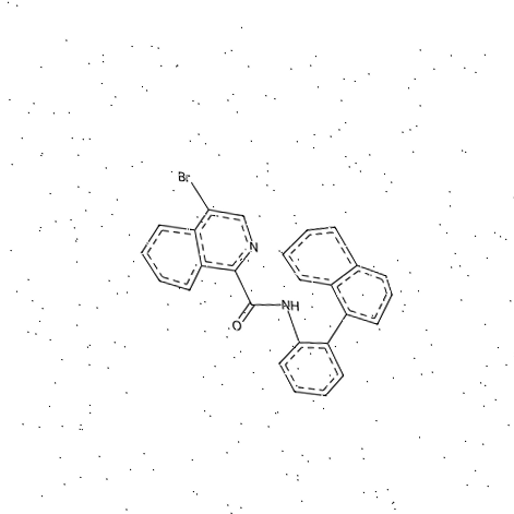 O=C(Nc1ccccc1-c1cccc2ccccc12)c1ncc(Br)c2ccccc12